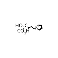 O=C(O)C(CCn1cccc1)C(=O)O